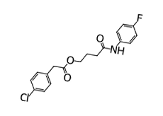 O=C(CCCOC(=O)Cc1ccc(Cl)cc1)Nc1ccc(F)cc1